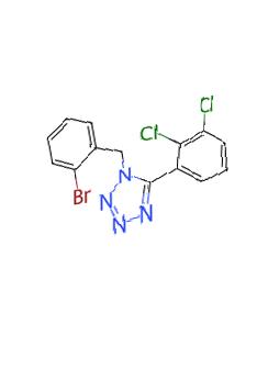 Clc1cccc(-c2nnnn2Cc2ccccc2Br)c1Cl